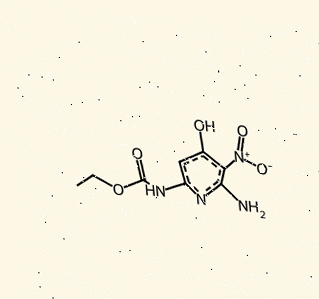 CCOC(=O)Nc1cc(O)c([N+](=O)[O-])c(N)n1